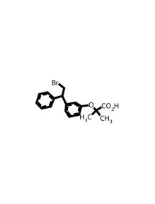 CC(C)(Oc1cccc(C(CBr)c2ccccc2)c1)C(=O)O